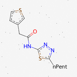 CCCCCc1nnc(NC(=O)Cc2ccsc2)s1